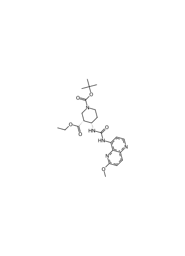 CCOC(=O)[C@@H]1CN(C(=O)OC(C)(C)C)CC[C@@H]1NC(=O)Nc1ccnc2ccc(OC)nc12